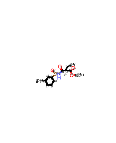 CC(C)C[C@](C)(C(=O)N[S+]([O-])c1cccc(C(C)C)c1)C(=O)OC(C)(C)C